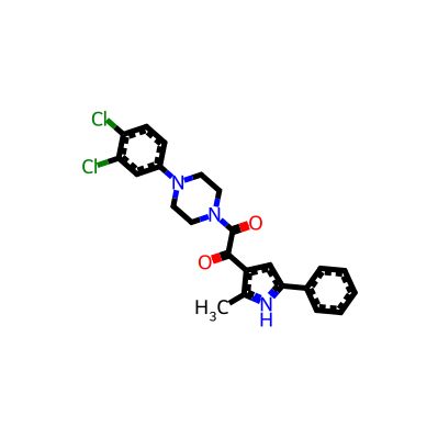 Cc1[nH]c(-c2ccccc2)cc1C(=O)C(=O)N1CCN(c2ccc(Cl)c(Cl)c2)CC1